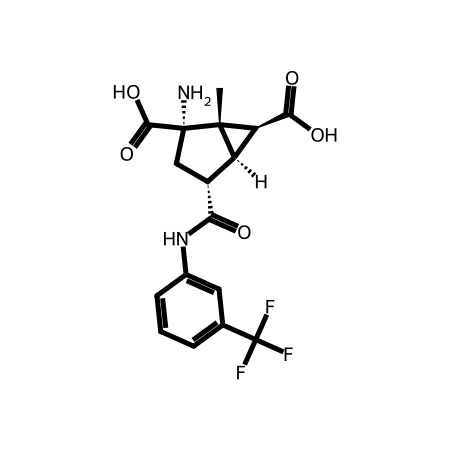 C[C@@]12[C@H]([C@H](C(=O)Nc3cccc(C(F)(F)F)c3)C[C@@]1(N)C(=O)O)[C@@H]2C(=O)O